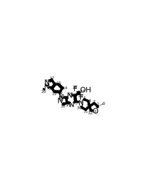 C[C@H]1CC2(CCN(c3nc4cnn(-c5ccc6cnn(C)c6c5)c4nc3C(O)(F)F)CC2)CO1